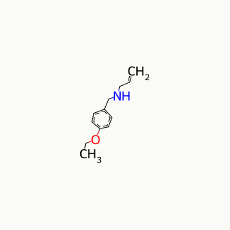 C=CCNCc1ccc(OCC)cc1